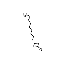 CCCCCCCCC[C@@H]1CC(=O)O1